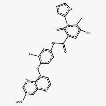 COc1cnc2c(Oc3ccc(NC(=O)c4cc(C(C)=O)c(C)n(-c5ccco5)c4=O)cc3F)ccnc2c1